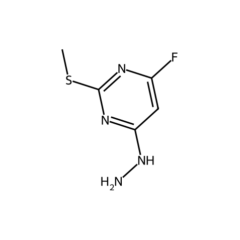 CSc1nc(F)cc(NN)n1